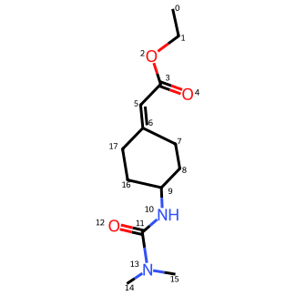 CCOC(=O)C=C1CCC(NC(=O)N(C)C)CC1